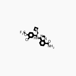 NC(=O)c1cccc2c(N[C@H](CN3CCC3)c3ccc(OC(F)(F)F)c(Cl)c3)ncnc12